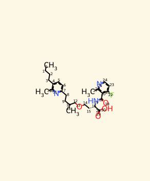 CCCCc1ccc(CC[C@H](C)COCC[C@H](NC(=O)c2c(F)ccnc2C)C(=O)O)nc1C